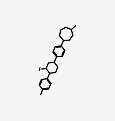 Cc1ccc(C2CCC(c3ccc(C4CCCC(C)CC4)cc3)CC2F)cc1